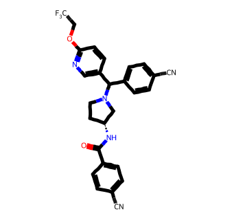 N#Cc1ccc(C(=O)N[C@@H]2CCN(C(c3ccc(C#N)cc3)c3ccc(OCC(F)(F)F)nc3)C2)cc1